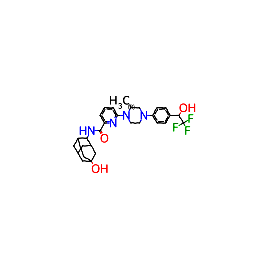 C[C@@H]1CN(c2ccc(C(O)C(F)(F)F)cc2)CCN1c1cccc(C(=O)NC2C3CC4CC2CC(O)(C4)C3)n1